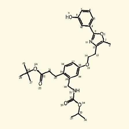 Cc1oc(-c2cccc(O)c2)nc1CCOc1ccc(CCC(=O)OC(C)(C)C)c(CNC(=O)OC(C)C)c1